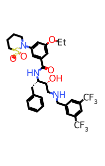 CCOc1cc(C(=O)N[C@@H](Cc2ccccc2)[C@H](O)CNCc2cc(C(F)(F)F)cc(C(F)(F)F)c2)cc(N2CCCCS2(=O)=O)c1